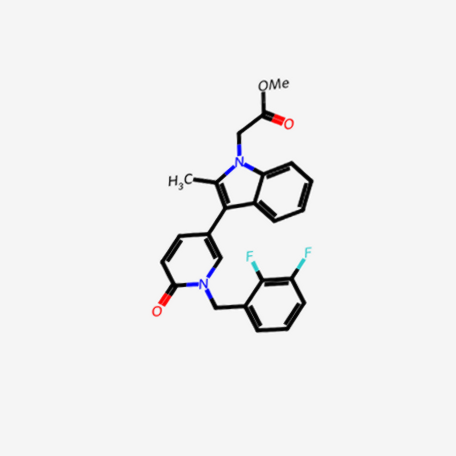 COC(=O)Cn1c(C)c(-c2ccc(=O)n(Cc3cccc(F)c3F)c2)c2ccccc21